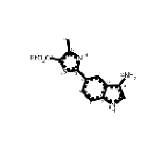 CCOC(=O)c1sc(-c2ccc3[nH]cc(N)c3c2)nc1C